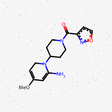 COC1=CCN(C2CCN(C(=O)c3ccon3)CC2)C(N)=C1